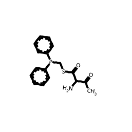 CC(=O)C(N)C(=O)SCP(c1ccccc1)c1ccccc1